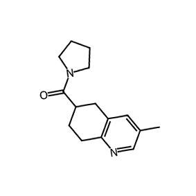 Cc1cnc2c(c1)CC(C(=O)N1CCCC1)CC2